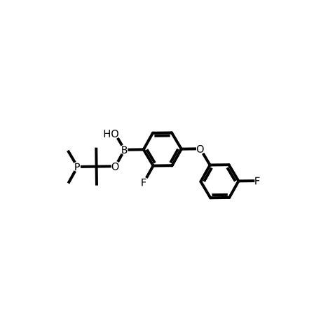 CP(C)C(C)(C)OB(O)c1ccc(Oc2cccc(F)c2)cc1F